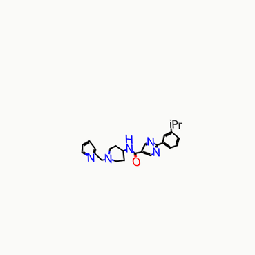 CC(C)c1cccc(-c2ncc(C(=O)NC3CCN(Cc4ccccn4)CC3)cn2)c1